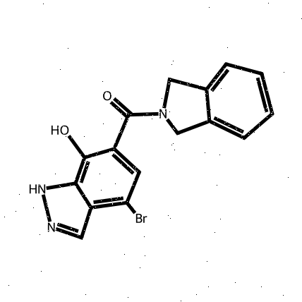 O=C(c1cc(Br)c2cn[nH]c2c1O)N1Cc2ccccc2C1